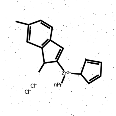 CC[CH2][Zr+2]([C]1=Cc2ccc(C)cc2C1C)[CH]1C=CC=C1.[Cl-].[Cl-]